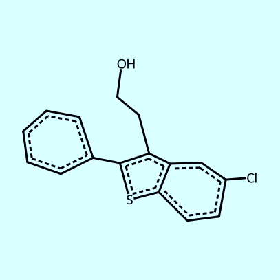 OCCc1c(-c2ccccc2)sc2ccc(Cl)cc12